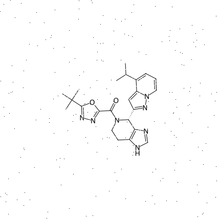 CC(C)c1cccn2nc([C@@H]3c4nc[nH]c4CCN3C(=O)c3nnc(C(C)(C)C)o3)cc12